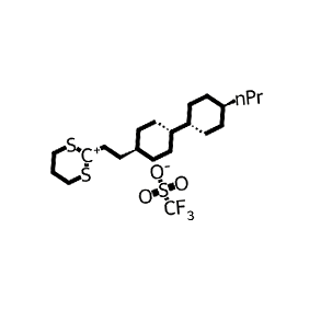 CCC[C@H]1CC[C@H]([C@H]2CC[C@H](CC[C+]3SCCCS3)CC2)CC1.O=S(=O)([O-])C(F)(F)F